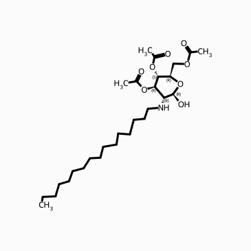 CCCCCCCCCCCCCCCCN[C@@H]1[C@@H](OC(C)=O)[C@H](OC(C)=O)[C@@H](COC(C)=O)O[C@H]1O